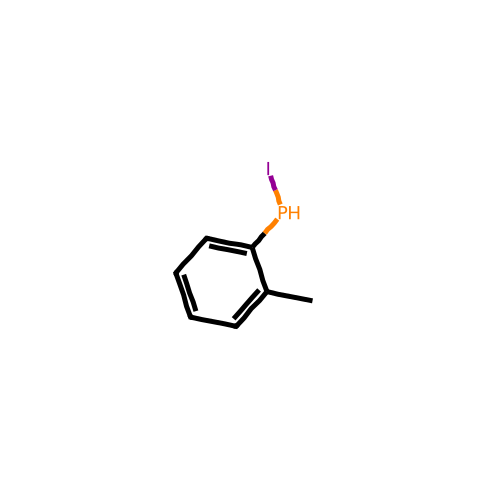 Cc1ccccc1PI